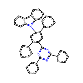 c1ccc(-c2nc(-c3ccccc3)nc(-c3cc(-c4ccccc4)c(-n4c5ccccc5c5ccccc54)cc3-c3ccccc3)n2)cc1